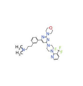 CN(C)CCCc1cccc(-c2cc(N3CCN(c4ncccc4C(F)(F)F)CC3)nc(N3CCOCC3)n2)c1